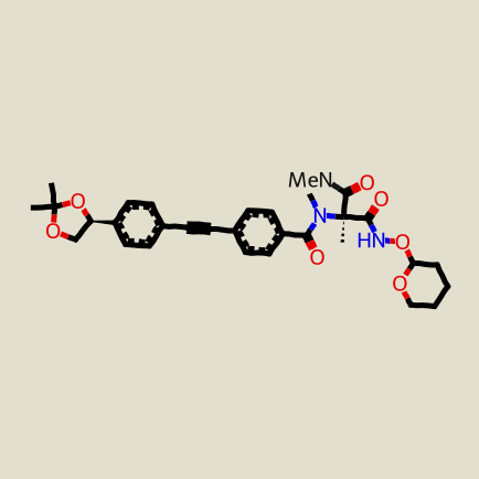 CNC(=O)[C@@](C)(C(=O)NOC1CCCCO1)N(C)C(=O)c1ccc(C#Cc2ccc([C@H]3COC(C)(C)O3)cc2)cc1